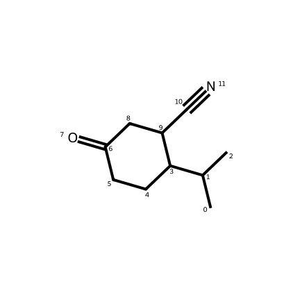 CC(C)C1CCC(=O)CC1C#N